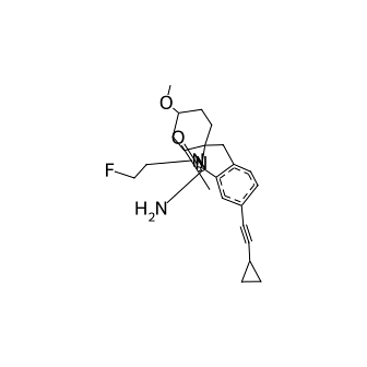 COC1CCC2(CC1)Cc1ccc(C#CC3CC3)cc1C21N=C(N)N(CCF)C1=O